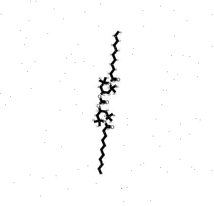 CCCCCCCCCCC(=O)N1C(C)(C)CC(OC(=O)OC2CC(C)(C)N(C(=O)CCCCCCCCCC)C(C)(C)C2)CC1(C)C